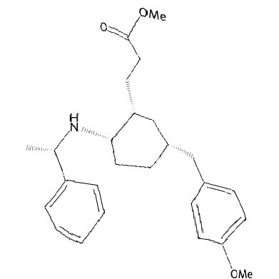 COC(=O)CC[C@@H]1C[C@H](Cc2ccc(OC)cc2)CC[C@@H]1N[C@@H](C)c1ccccc1